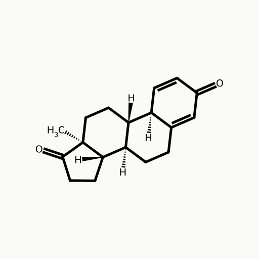 C[C@]12CC[C@H]3[C@@H](CCC4=CC(=O)C=C[C@@H]43)[C@@H]1CCC2=O